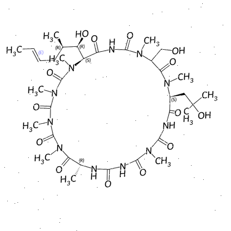 C/C=C/C[C@@H](C)[C@@H](O)[C@H]1C(=O)NC(=O)N(C)C(CO)C(=O)N(C)[C@@H](CC(C)(C)O)C(=O)NC(=O)N(C)C(=O)NC(=O)N[C@H](C)C(=O)N(C)C(=O)N(C)C(=O)N(C)C(=O)N1C